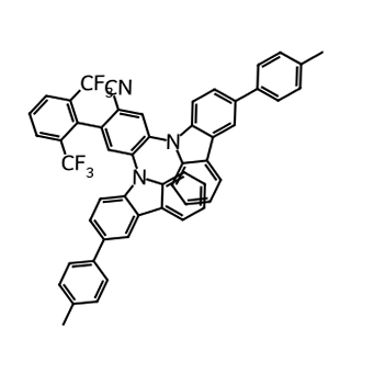 Cc1ccc(-c2ccc3c(c2)c2ccccc2n3-c2cc(C#N)c(-c3c(C(F)(F)F)cccc3C(F)(F)F)cc2-n2c3ccccc3c3cc(-c4ccc(C)cc4)ccc32)cc1